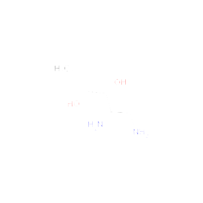 CCC(O)C(O)C(N)CN